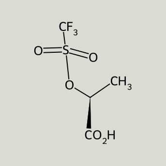 C[C@H](OS(=O)(=O)C(F)(F)F)C(=O)O